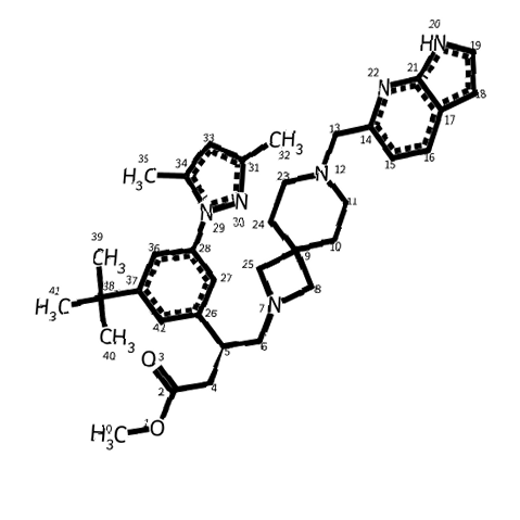 COC(=O)C[C@H](CN1CC2(CCN(Cc3ccc4cc[nH]c4n3)CC2)C1)c1cc(-n2nc(C)cc2C)cc(C(C)(C)C)c1